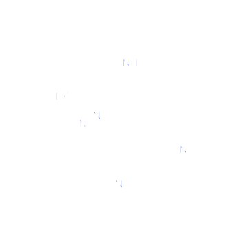 Cc1ccc(N)cc1-n1cc(-c2cncc(-c3cccnc3)c2)cn1